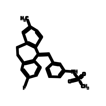 Cc1ccc2c(c1)CCc1cc(F)ccc1C2=Cc1cccc(NS(C)(=O)=O)c1